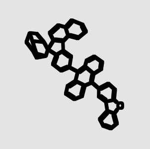 c1ccc2c3c(ccc2c1)C1(c2ccc(-c4c5ccccc5c(-c5ccc6oc7ccccc7c6c5)c5ccccc45)cc2-3)C2CC3CC(C2)CC1C3